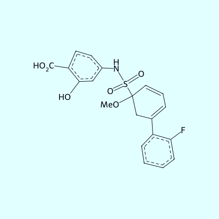 COC1(S(=O)(=O)Nc2ccc(C(=O)O)c(O)c2)C=CC=C(c2ccccc2F)C1